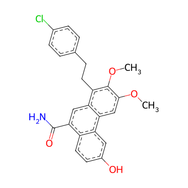 COc1cc2c(cc(C(N)=O)c3ccc(O)cc32)c(CCc2ccc(Cl)cc2)c1OC